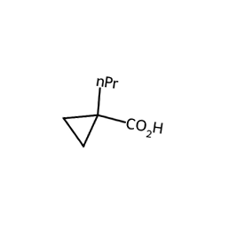 CCCC1(C(=O)O)CC1